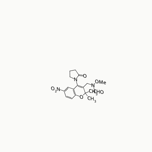 CON(C=O)CC1=C(N2CCCC2=O)c2cc([N+](=O)[O-])ccc2OC1(C)C